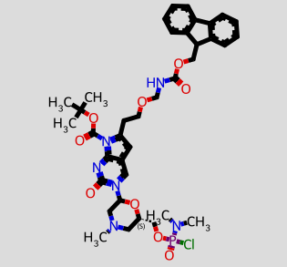 CN1CC(n2cc3cc(CCOCNC(=O)OCC4c5ccccc5-c5ccccc54)n(C(=O)OC(C)(C)C)c3nc2=O)O[C@H](COP(=O)(Cl)N(C)C)C1